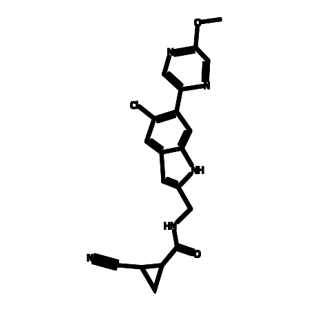 COc1cnc(-c2cc3[nH]c(CNC(=O)C4CC4C#N)cc3cc2Cl)cn1